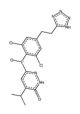 CC(C)c1cc([S+]([O-])c2c(Cl)cc(CCc3nnn[nH]3)cc2Cl)n[nH]c1=O